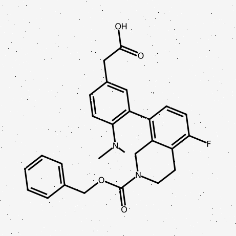 CN(C)c1ccc(CC(=O)O)cc1-c1ccc(F)c2c1CN(C(=O)OCc1ccccc1)CC2